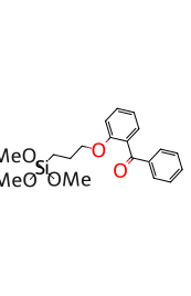 CO[Si](CCCOc1ccccc1C(=O)c1ccccc1)(OC)OC